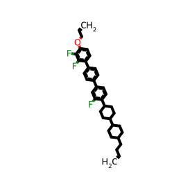 C=CCCC1CCC(C2CCC(c3ccc(-c4ccc(-c5ccc(OCC=C)c(F)c5F)cc4)cc3F)CC2)CC1